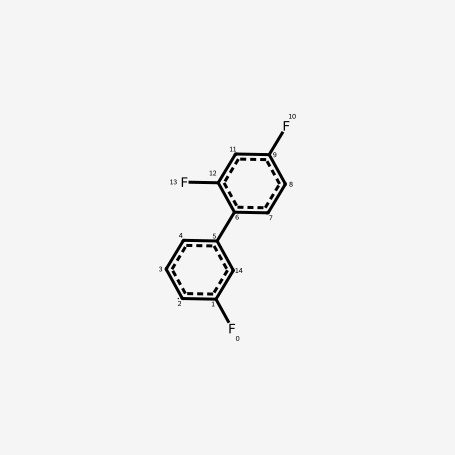 Fc1[c]ccc(-c2ccc(F)cc2F)c1